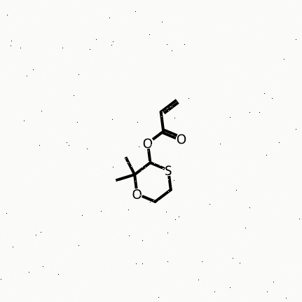 C=CC(=O)OC1SCCOC1(C)C